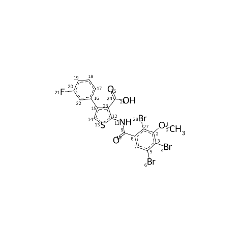 COc1c(Br)c(Br)cc(C(=O)Nc2scc(-c3cccc(F)c3)c2C(=O)O)c1Br